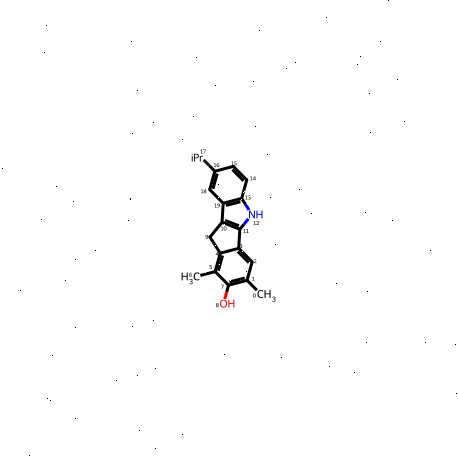 Cc1cc2c(c(C)c1O)Cc1c-2[nH]c2ccc(C(C)C)cc12